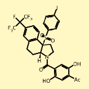 CC(=O)c1cc(O)c(C(=O)N2CC[C@@]3(S(=O)(=O)c4ccc(I)cc4)c4ccc(C(F)(C(F)(F)F)C(F)(F)F)cc4CC[C@@H]23)cc1O